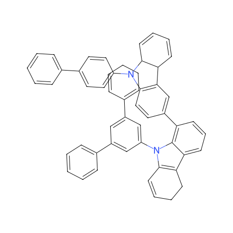 C1=CC2c3cc(-c4cccc5c6c(n(-c7cc(C8=CCCC=C8)cc(-c8ccccc8)c7)c45)C=CCC6)ccc3N(c3ccc(-c4ccccc4)cc3)C2C=C1